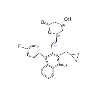 O=C1C[C@H](O)C[C@@H](/C=C/c2c(-c3ccc(F)cc3)c3ccccc3c(=O)n2CC2CC2)O1